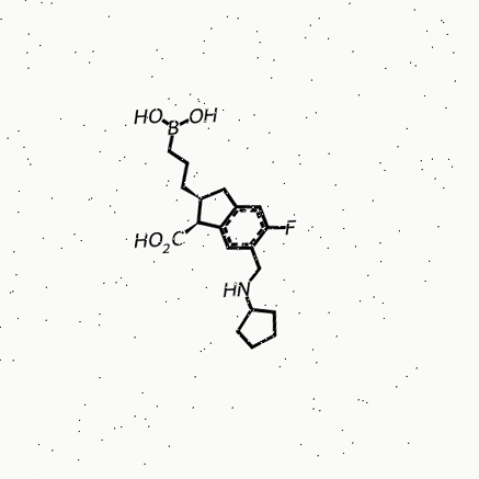 O=C(O)[C@@H]1c2cc(CNC3CCCC3)c(F)cc2C[C@@H]1CCCB(O)O